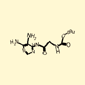 CC(C)(C)OC(=O)NCC(=O)Nc1ncnc(N)c1N